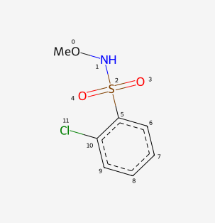 CONS(=O)(=O)c1ccccc1Cl